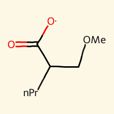 CCCC(COC)C([O])=O